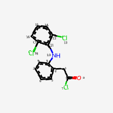 O=C(Cl)Cc1ccccc1Nc1c(Cl)cccc1Cl